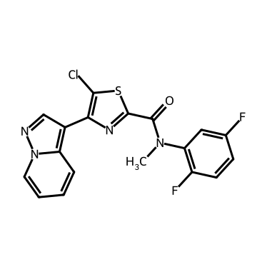 CN(C(=O)c1nc(-c2cnn3ccccc23)c(Cl)s1)c1cc(F)ccc1F